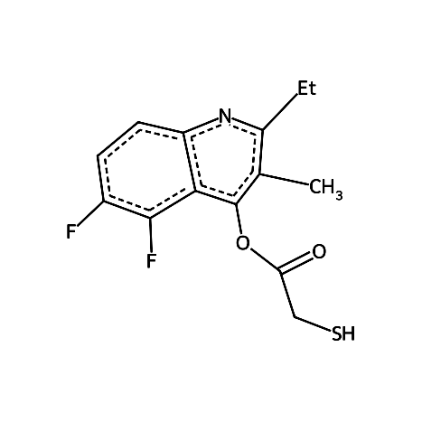 CCc1nc2ccc(F)c(F)c2c(OC(=O)CS)c1C